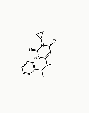 CC(Nc1cc(=O)n(C2CC2)c(=O)[nH]1)c1ccccc1